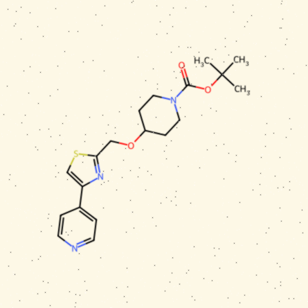 CC(C)(C)OC(=O)N1CCC(OCc2nc(-c3ccncc3)cs2)CC1